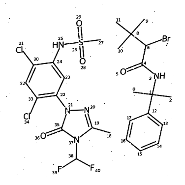 CC(C)(NC(=O)C(Br)C(C)(C)C)c1ccccc1.Cc1nn(-c2cc(NS(C)(=O)=O)c(Cl)cc2Cl)c(=O)n1C(F)F